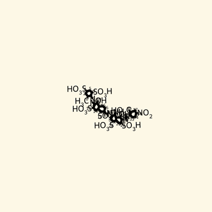 Cc1cc(S(=O)(=O)O)cc(S(=O)(=O)O)c1N=Nc1c(S(=O)(=O)O)cc2c(S(=O)(=O)O)c(N=Nc3cc(S(=O)(=O)O)c4cc(S(=O)(=O)O)c(N=Nc5ccc([N+](=O)[O-])cc5C(=O)O)c(O)c4c3N)ccc2c1O